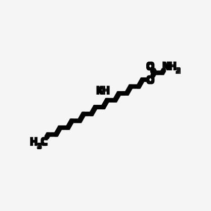 CCCCCCCCCCCCCCCCCCOC(=O)CN.[KH]